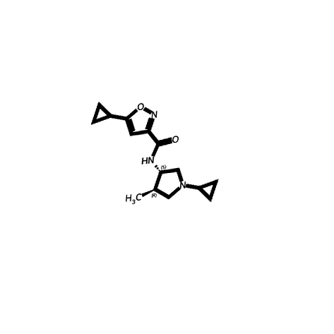 C[C@@H]1CN(C2CC2)C[C@H]1NC(=O)c1cc(C2CC2)on1